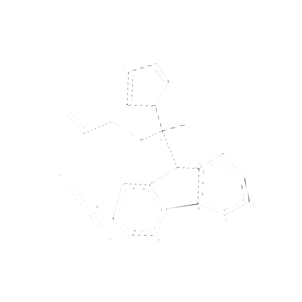 C=CCCC(C)(C1C=CC=C1)C1c2ccccc2-c2ccccc21.[O]=[Ti]=[O]